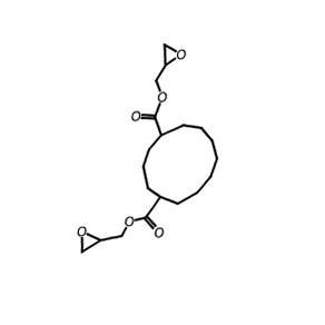 O=C(OCC1CO1)C1CCCCCCCC(C(=O)OCC2CO2)CCC1